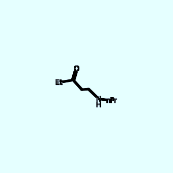 CCCNCCC(=O)CC